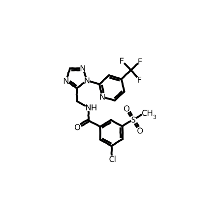 CS(=O)(=O)c1cc(Cl)cc(C(=O)NCc2ncnn2-c2cc(C(F)(F)F)ccn2)c1